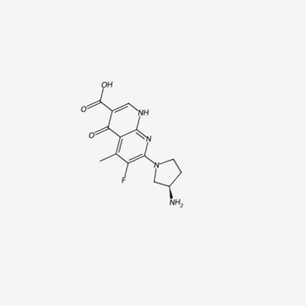 Cc1c(F)c(N2CC[C@@H](N)C2)nc2[nH]cc(C(=O)O)c(=O)c12